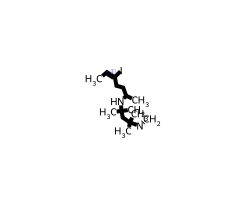 C=NC(C)(C)CC(C)(C)NC(C)CC/C(I)=C\C